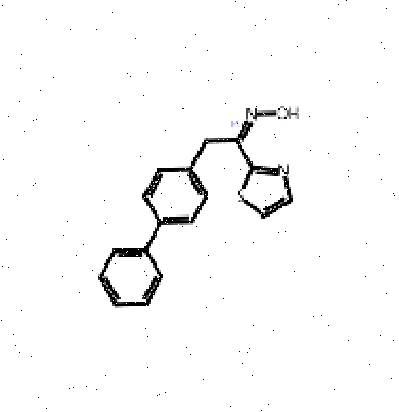 O/N=C(/Cc1ccc(-c2ccccc2)cc1)c1nccs1